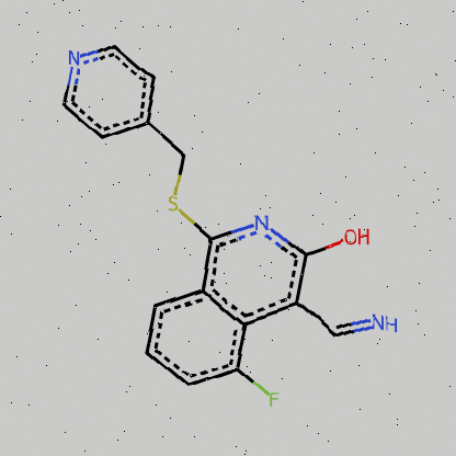 N=Cc1c(O)nc(SCc2ccncc2)c2cccc(F)c12